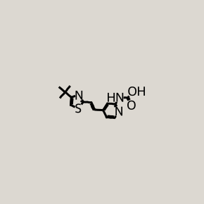 CC(C)(C)c1csc(C=Cc2ccnc(NC(=O)O)c2)n1